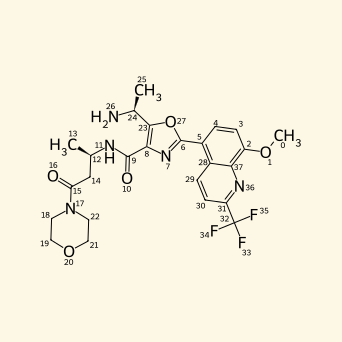 COc1ccc(-c2nc(C(=O)N[C@H](C)CC(=O)N3CCOCC3)c([C@H](C)N)o2)c2ccc(C(F)(F)F)nc12